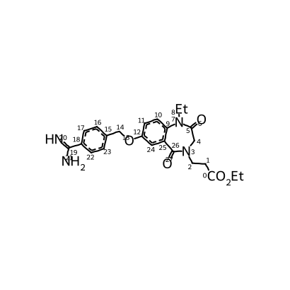 CCOC(=O)CCN1CC(=O)N(CC)c2ccc(OCc3ccc(C(=N)N)cc3)cc2C1=O